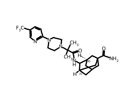 CC(C)(C(=O)NC1[C@@H]2CC3C[C@H]1CC(C(N)=O)(C3)C2)N1CCN(c2ccc(C(F)(F)F)cn2)CC1